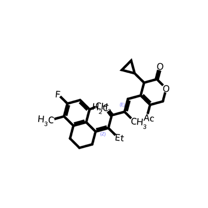 C=C(/C(CC)=C1/CCCc2c(C)c(F)cc(C)c21)/C(C)=C/C1=C(C(C)=O)COC(=O)C1C1CC1